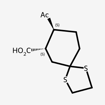 CC(=O)[C@H]1CCC2(C[C@@H]1C(=O)O)SCCS2